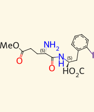 COC(=O)CC[C@H](N)C(=O)N[C@@H](Cc1ccccc1I)C(=O)O